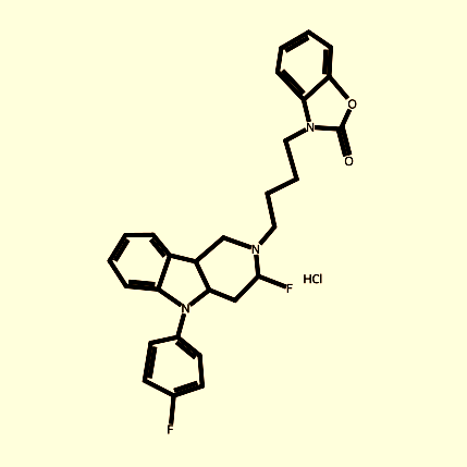 Cl.O=c1oc2ccccc2n1CCCCN1CC2c3ccccc3N(c3ccc(F)cc3)C2CC1F